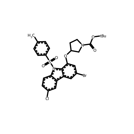 Cc1ccc(S(=O)(=O)n2c3ccc(Cl)cc3c3cc(Br)cc(OC4CCN(C(=O)OC(C)(C)C)C4)c32)cc1